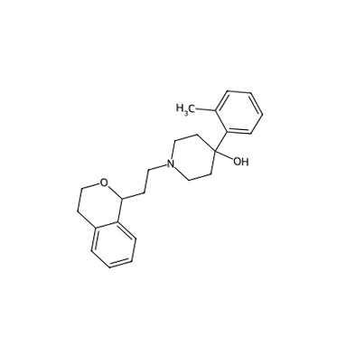 Cc1ccccc1C1(O)CCN(CCC2OCCc3ccccc32)CC1